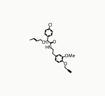 C#CCOc1ccc(CCNC(=O)[C@@H](OCC=CC)c2ccc(Cl)cc2)cc1OC